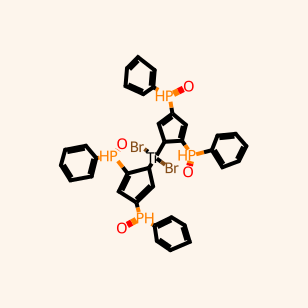 O=[PH](C1=C[CH]([Ti]([Br])([Br])[CH]2C=C([PH](=O)c3ccccc3)C=C2[PH](=O)c2ccccc2)C([PH](=O)c2ccccc2)=C1)c1ccccc1